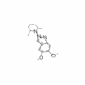 COc1cc2cn(N3C(C)CCCC3C)nc2cc1OC